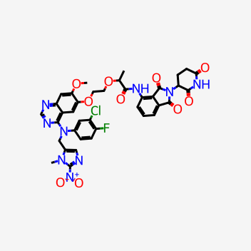 COc1cc2ncnc(N(Cc3cnc([N+](=O)[O-])n3C)c3ccc(F)c(Cl)c3)c2cc1OCCOC(C)C(=O)Nc1cccc2c1C(=O)N(C1CCC(=O)NC1=O)C2=O